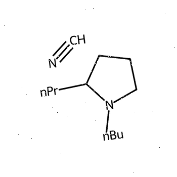 C#N.CCCCN1CCCC1CCC